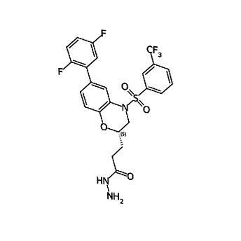 NNC(=O)CC[C@H]1CN(S(=O)(=O)c2cccc(C(F)(F)F)c2)c2cc(-c3cc(F)ccc3F)ccc2O1